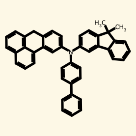 CC1(C)c2ccccc2-c2cc(N(c3ccc(-c4ccccc4)cc3)c3ccc4c(c3)-c3cccc5cccc(c35)C4)ccc21